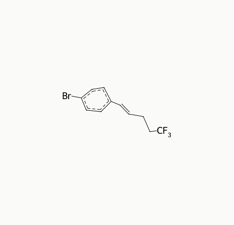 FC(F)(F)CC/C=C/c1ccc(Br)cc1